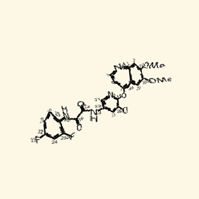 COc1cc2nccc(Oc3ncc(NC(=O)C(=O)Nc4ccc(F)cc4F)cc3Cl)c2cc1OC